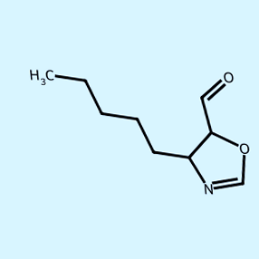 CCCCCC1N=COC1C=O